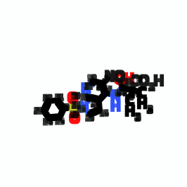 CC(C)(C(=O)O)C(O)Nc1c([N+](=O)[O-])cnc2c1ccn2S(=O)(=O)c1ccccc1